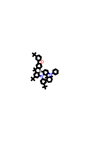 CC(C)(C)c1ccc(N2c3cc(C(C)(C)C)cc4c3B(c3cc5oc6ccc(C(C)(C)C)cc6c5cc3C4(C)C)c3ccc4c(c32)C2(C)CCCCC2(C)N4c2ccccc2)cc1